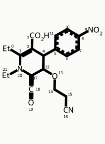 CCC1=C(C(=O)O)C(c2ccc([N+](=O)[O-])cc2)C(OCCC#N)C(=C=O)N1CC